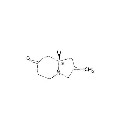 C=C1C[C@H]2CC(=O)CCN2C1